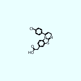 O=C(O)Cc1ccc2c(c1)SC1=NCC=C(c3ccc(Cl)cc3)N12